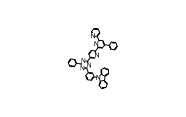 c1ccc(-c2cc(-c3ccccn3)nc(-c3ccc(-c4nc(-c5ccccc5)nc(-c5cccc(-n6c7ccccc7c7ccccc76)c5)n4)cn3)c2)cc1